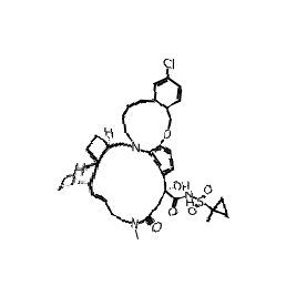 CO[C@H]1/C=C/CCN(C)C(=O)C[C@](O)(C(=O)NS(=O)(=O)C2(C)CC2)c2ccc3c(c2)N(CCCCC2C=C(Cl)C=CC2CO3)C[C@@H]2CC[C@H]21